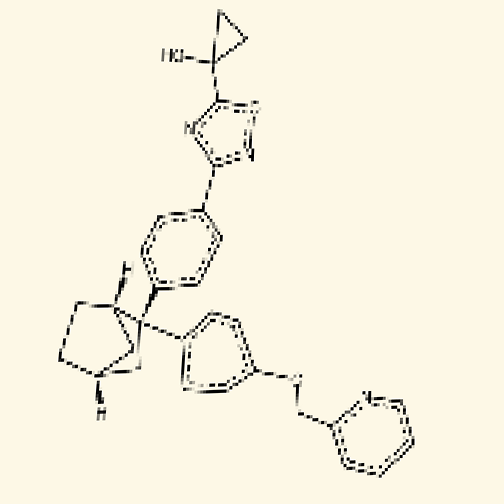 OC1(c2nc(-c3ccc([C@@]4(c5ccc(OCc6ccccn6)cc5)C[C@@H]5CC[C@H]4C5)cc3)no2)CC1